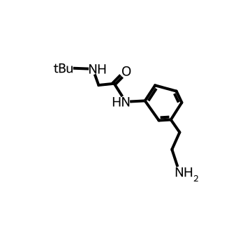 CC(C)(C)NCC(=O)Nc1cccc(CCN)c1